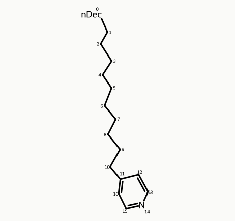 CCCCCCCCCCCCCCCCCCCCc1ccncc1